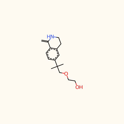 C=C1NCCc2cc(C(C)(C)COCCO)ccc21